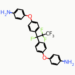 Nc1ccc(Oc2ccc(C(F)(c3ccc(Oc4ccc(N)cc4)cc3)C(F)(F)C(F)(F)F)cc2)cc1